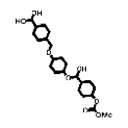 COC(=O)OC1CCC(C(O)OC2CCC(OCC3CCC(C(O)O)CC3)CC2)CC1